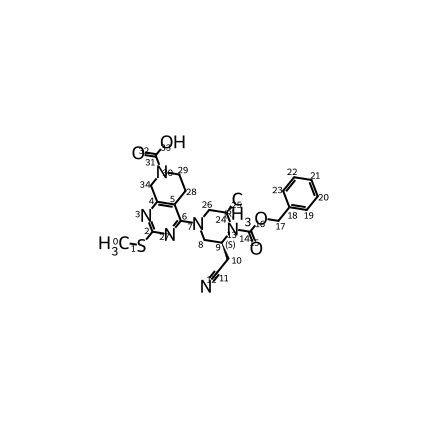 CSc1nc2c(c(N3C[C@H](CC#N)N(C(=O)OCc4ccccc4)[C@H](C)C3)n1)CCN(C(=O)O)C2